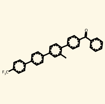 Cc1cc(-c2ccc(-c3ccc(C(F)(F)F)cc3)cc2)ccc1-c1ccc(C(=O)c2ccccc2)cc1